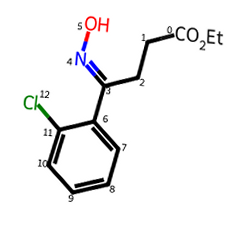 CCOC(=O)CCC(=NO)c1ccccc1Cl